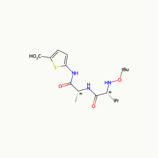 CC(C)[C@@H](NOC(C)(C)C)C(=O)N[C@H](C)C(=O)Nc1ccc(C(=O)O)s1